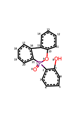 O=P1(c2ccccc2O)Oc2ccccc2-c2ccccc21